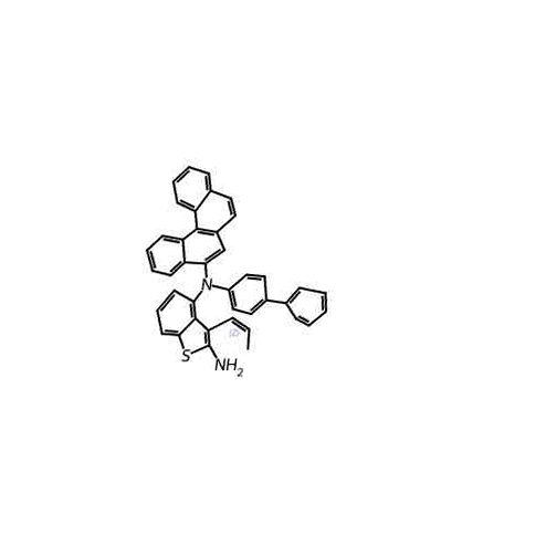 C/C=C\c1c(N)sc2cccc(N(c3ccc(-c4ccccc4)cc3)c3cc4ccc5ccccc5c4c4ccccc34)c12